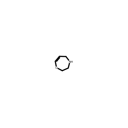 [CH]1CNCC=CO1